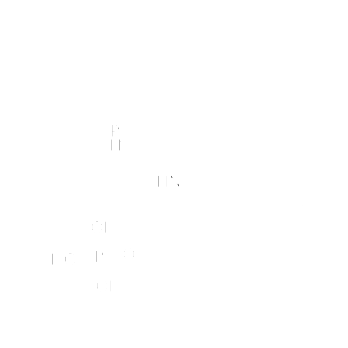 O=P(O)(O)O.c1ccc(CCNCC[PH](c2ccccc2)(c2ccccc2)c2ccccc2)cc1